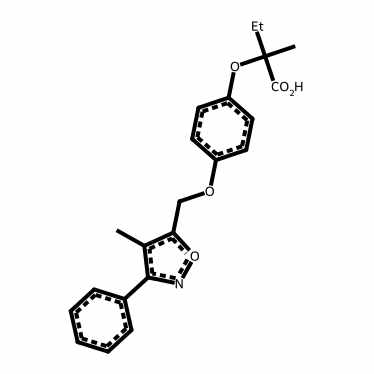 CCC(C)(Oc1ccc(OCc2onc(-c3ccccc3)c2C)cc1)C(=O)O